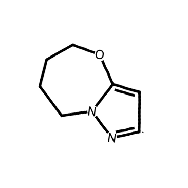 [c]1cc2n(n1)CCCCO2